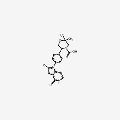 CC1(C)CN(C(=O)O)C(c2ccc(-n3c(Cl)cc4c(=O)[nH]cnc43)cc2)CO1